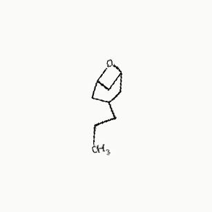 CCCC1CC2CC(C1)O2